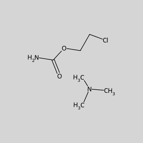 CN(C)C.NC(=O)OCCCl